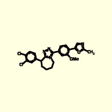 COc1cc(-c2nnc3n2CCCCC3c2ccc(Cl)c(Cl)c2)ccc1-c1cnc(C)o1